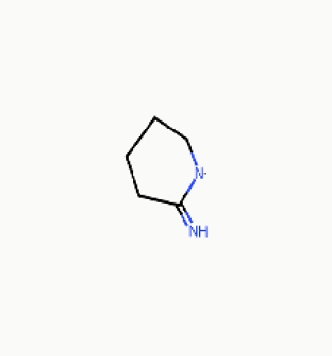 N=C1CCCC[N]1